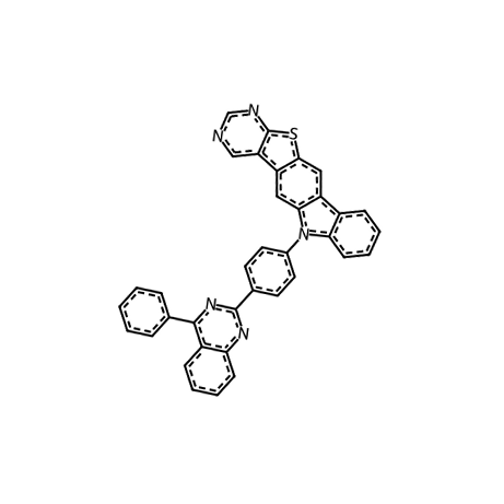 c1ccc(-c2nc(-c3ccc(-n4c5ccccc5c5cc6sc7ncncc7c6cc54)cc3)nc3ccccc23)cc1